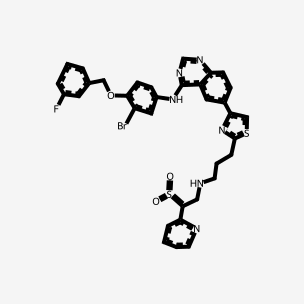 O=S(=O)=C(CNCCCc1nc(-c2ccc3ncnc(Nc4ccc(OCc5cccc(F)c5)c(Br)c4)c3c2)cs1)c1ccccn1